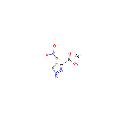 O=C(O)c1cc[nH]n1.O=[N+]([O-])[O-].[Ag+]